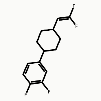 FC(F)=CC1CCC(c2ccc(F)c(F)c2)CC1